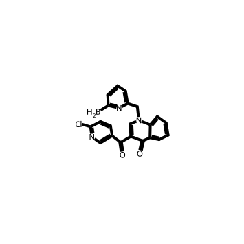 Bc1cccc(Cn2cc(C(=O)c3ccc(Cl)nc3)c(=O)c3ccccc32)n1